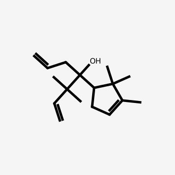 C=CCC(O)(C1CC=C(C)C1(C)C)C(C)(C)C=C